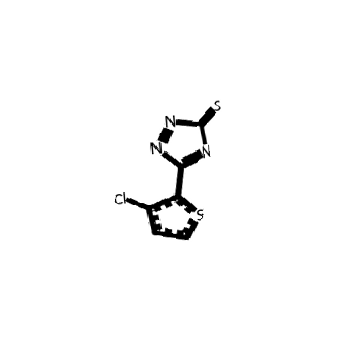 S=C1N=NC(c2sccc2Cl)=N1